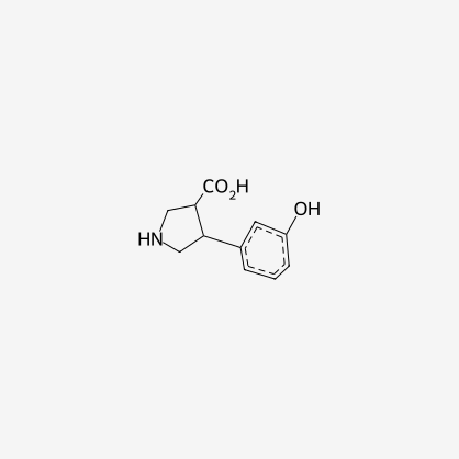 O=C(O)C1CNCC1c1cccc(O)c1